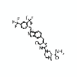 CN1CCN(C2=NC(=O)C(=Cc3ccc4c(cnn4Cc4ccc(C(F)(F)F)cc4C(F)(F)F)c3)S2)C[C@@H]1C(N)=O